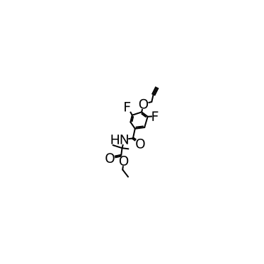 C#CCOc1c(F)cc(C(=O)NC(C)(C)C(=O)OCC)cc1F